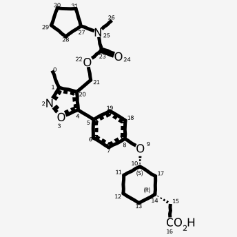 Cc1noc(-c2ccc(O[C@H]3CCC[C@@H](CC(=O)O)C3)cc2)c1COC(=O)N(C)C1CCCC1